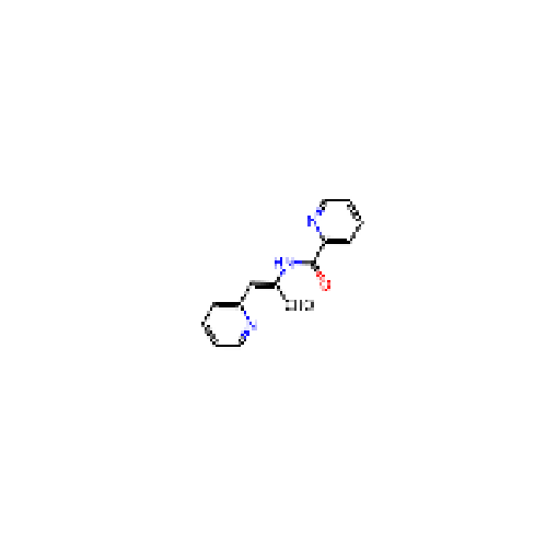 O=[C]/C(=C\c1ccccn1)NC(=O)c1ccccn1